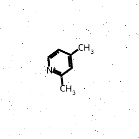 CC1=CC(C)=[N+]C=C1